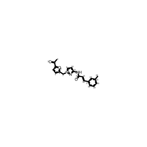 CC(=O)c1ccc(Cn2ccc(NC(=O)C=Cc3cccc(C)c3)n2)o1